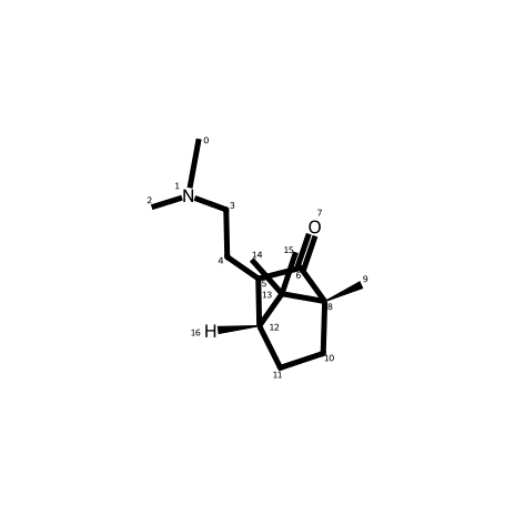 CN(C)CCC1C(=O)[C@]2(C)CC[C@H]1C2(C)C